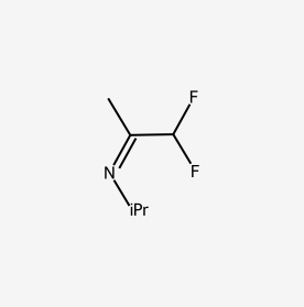 CC(=NC(C)C)C(F)F